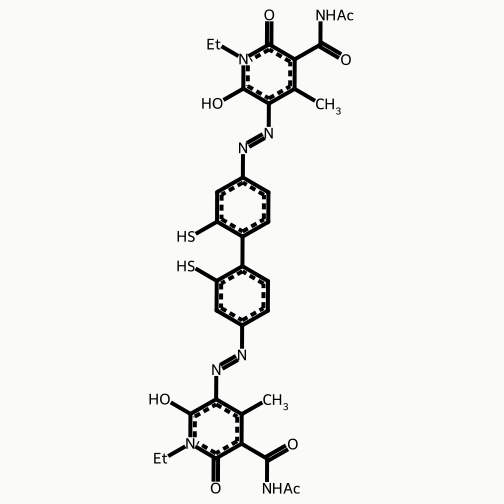 CCn1c(O)c(N=Nc2ccc(-c3ccc(N=Nc4c(C)c(C(=O)NC(C)=O)c(=O)n(CC)c4O)cc3S)c(S)c2)c(C)c(C(=O)NC(C)=O)c1=O